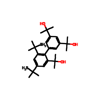 BC(C)(C)c1cc(C(B)(C)C)c(-c2cc(C(C)(C)O)cc(C(C)(C)O)c2)c(C(C)(C)O)c1